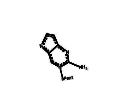 CCCCCn1cc2nccc-2nc1N